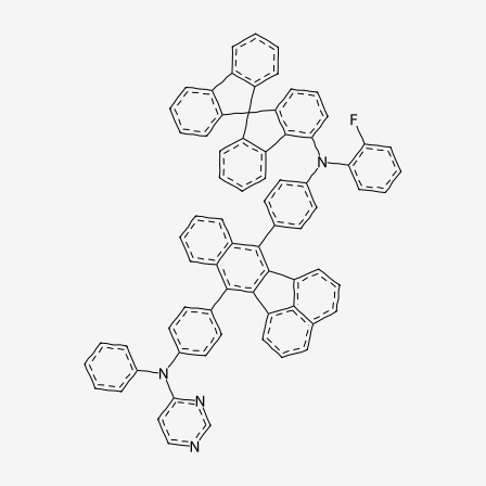 Fc1ccccc1N(c1ccc(-c2c3c(c(-c4ccc(N(c5ccccc5)c5ccncn5)cc4)c4ccccc24)-c2cccc4cccc-3c24)cc1)c1cccc2c1-c1ccccc1C21c2ccccc2-c2ccccc21